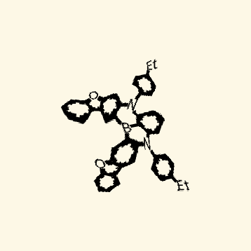 CCc1ccc(N2c3cc4oc5ccccc5c4cc3B3c4cc5oc6ccccc6c5cc4N(c4ccc(CC)cc4)c4cccc2c43)cc1